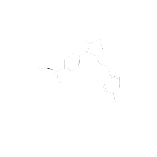 CCCCC[C@H](O)c1ccc(N2C(=O)CCC2COc2ccc(C(=O)O)cc2)cc1